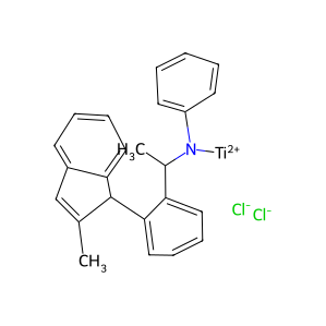 CC1=Cc2ccccc2C1c1ccccc1C(C)[N]([Ti+2])c1ccccc1.[Cl-].[Cl-]